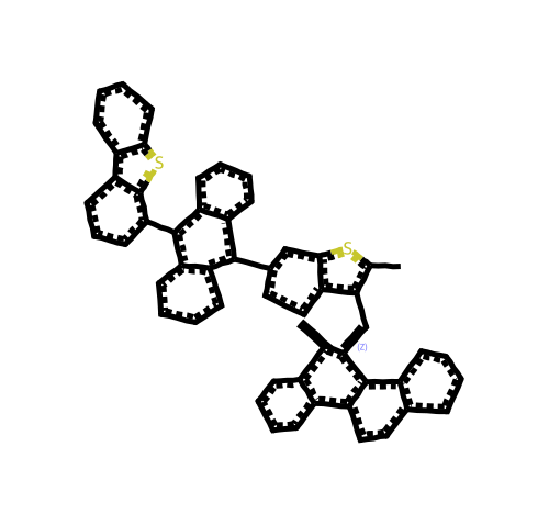 C=c1/c(=C\c2c(C)sc3cc(-c4c5ccccc5c(-c5cccc6c5sc5ccccc56)c5ccccc45)ccc23)c2c3ccccc3ccc2c2ccccc12